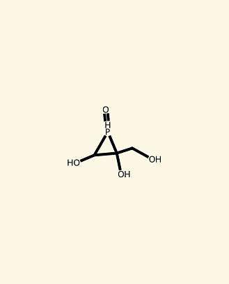 O=[PH]1C(O)C1(O)CO